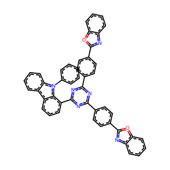 c1ccc(-n2c3ccccc3c3cccc(-c4nc(-c5ccc(-c6nc7ccccc7o6)cc5)nc(-c5ccc(-c6nc7ccccc7o6)cc5)n4)c32)cc1